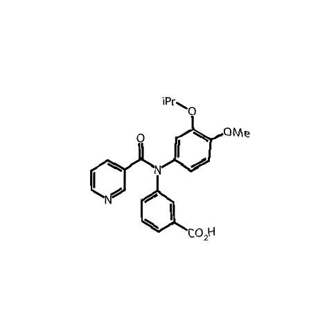 COc1ccc(N(C(=O)c2cccnc2)c2cccc(C(=O)O)c2)cc1OC(C)C